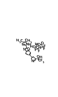 Cc1nc(-c2nc3ccc(-c4cncc(C(O)C(F)(F)F)c4)cc3o2)[nH]c1C.O=C(O)C(F)(F)F.O=C(O)C(F)(F)F